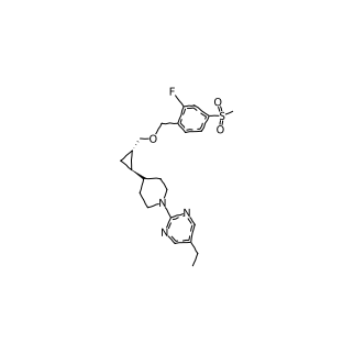 CCc1cnc(N2CCC([C@H]3C[C@@H]3COCc3ccc(S(C)(=O)=O)cc3F)CC2)nc1